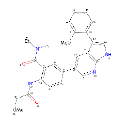 CCN(C)C(=O)c1cc(-c2cnc3[nH]cc(-c4ccccc4OC)c3c2)ccc1NC(=O)COC